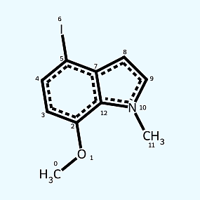 COc1ccc(I)c2ccn(C)c12